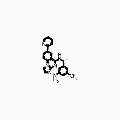 C[C@@H](Nc1nc2nccn2c2ccc(-c3ccccn3)cc12)c1cc(N)cc(C(F)(F)F)c1